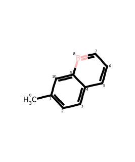 Cc1ccc2cccbc2c1